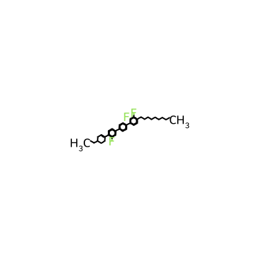 CCCCCCCCCCc1ccc(-c2ccc(-c3ccc(C4=CCC(CCC)CC4)c(F)c3)cc2)c(F)c1F